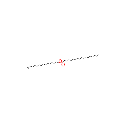 CCCCCCCCCCCCCCCCCC(=O)OCCCCCCCCCCCCCCC(C)C